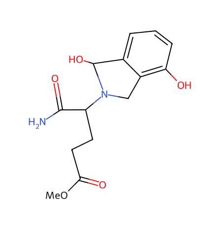 COC(=O)CCC(C(N)=O)N1Cc2c(O)cccc2C1O